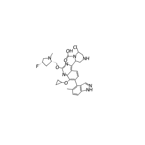 Cc1ccc2[nH]ncc2c1-c1ccc2c(C3CNCC(Cl)N3C(=O)O)nc(OC[C@@H]3C[C@H](F)CN3C)nc2c1OC1CC1